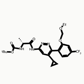 CCOCOc1cc(C(F)(F)F)ccc1-c1nnc(NC(=O)[C@@H](C)NC(=O)OC(C)(C)C)cc1C1CC1